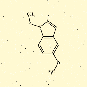 FC(F)(F)Oc1ccc2c(cnn2SC(Cl)(Cl)Cl)c1